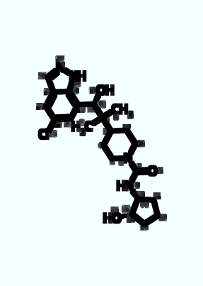 CC(C)(C1CCN(C(=O)N[C@H]2CCC[C@@H]2O)CC1)[C@H](O)c1cc(Cl)cc2cn[nH]c12